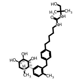 Cc1ccc([C@H]2[C@H](O)[C@H](O)[C@H](O)C[SH]2C)cc1Cc1ccc(CCCCCNC(=O)NC(C)(C)CO)cc1